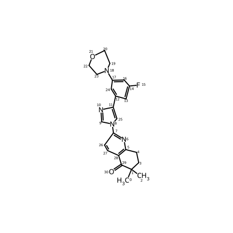 CC1(C)CCc2nc(-n3cnc(-c4cc(F)cc(N5CCOCC5)c4)c3)ccc2C1=O